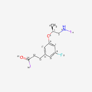 C[C@@H](CNI)Oc1cc(F)cc(CCC(=O)I)c1